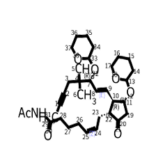 CC#CCC(C)(C)[C@@H](/C=C/[C@H]1[C@H](OC2CCCCO2)CC(=O)[C@@H]1C/C=C\CCCC(=O)NC(C)=O)OC1CCCCO1